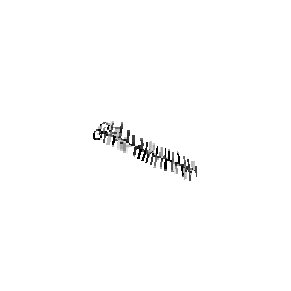 O=C(O)C(I)(I)C(I)(I)C(I)(I)C(I)(I)C(I)(I)C(I)(I)C(I)(I)C(I)(I)C(I)(I)C(I)(I)C(I)(I)C(I)(I)C(I)(I)C(I)(I)C(I)(I)C(I)(I)C(I)(I)C(I)(I)I